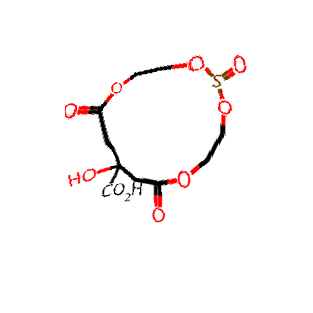 O=C1CC(O)(C(=O)O)CC(=O)OCCOS(=O)OCCO1